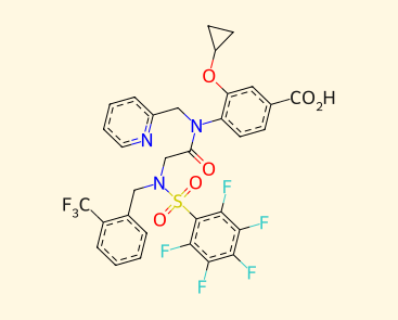 O=C(O)c1ccc(N(Cc2ccccn2)C(=O)CN(Cc2ccccc2C(F)(F)F)S(=O)(=O)c2c(F)c(F)c(F)c(F)c2F)c(OC2CC2)c1